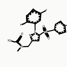 CN(Cc1cc(S(=O)(=O)c2ccccc2)n(-c2cc(F)ccc2F)n1)C(=O)O